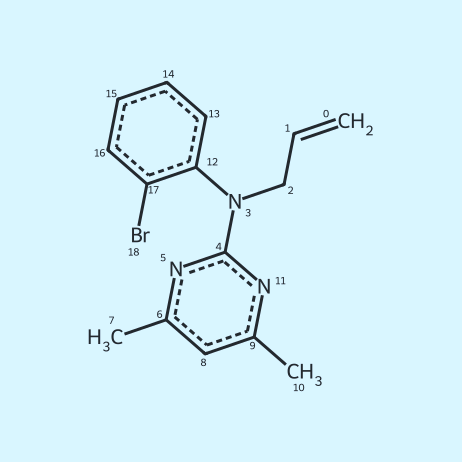 C=CCN(c1nc(C)cc(C)n1)c1ccccc1Br